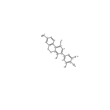 CCCc1ccc2c(c1)CCc1c(F)c(-c3cc(F)c(Cl)c(F)c3)cc(F)c1-2